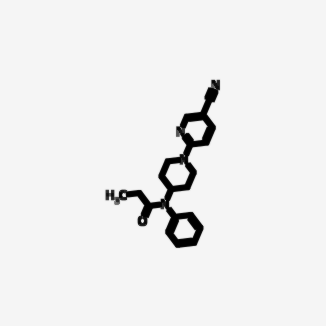 CCC(=O)N(c1ccccc1)C1CCN(c2ccc(C#N)cn2)CC1